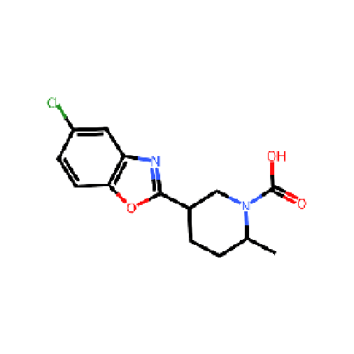 CC1CCC(c2nc3cc(Cl)ccc3o2)CN1C(=O)O